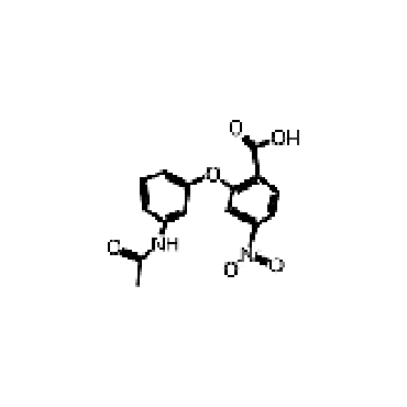 CC(=O)Nc1cccc(Oc2cc([N+](=O)[O-])ccc2C(=O)O)c1